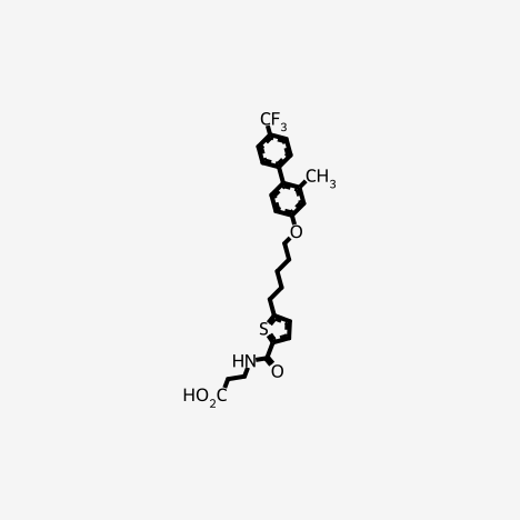 Cc1cc(OCCCCCc2ccc(C(=O)NCCC(=O)O)s2)ccc1-c1ccc(C(F)(F)F)cc1